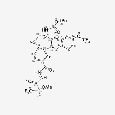 COC(F)(C(=O)NNC(=O)c1ccc2c(c1)N(Cc1ccc(OC(F)(F)F)cc1)C(=O)[C@@H](NC(=O)OC(C)(C)C)CS2)C(F)(F)F